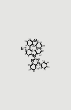 Brc1ccc2c(c1)c1c3c(ccc4oc5ccccc5c43)ccc1n2-c1nc(-c2ccccc2)c2ccccc2n1